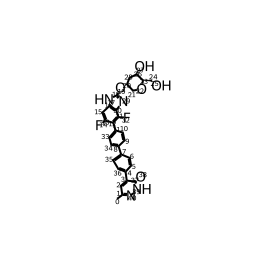 Cc1cc(-c2ccc(-c3ccc(-c4c(F)cc5[nH]c(O[C@H]6CO[C@H](CO)[C@@H](O)C6)nc5c4F)cc3)cc2)c(=O)[nH]n1